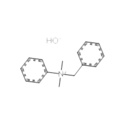 C[N+](C)(Cc1ccccc1)c1ccccc1.[OH-]